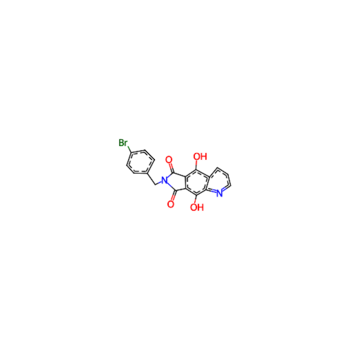 O=C1c2c(c(O)c3ncccc3c2O)C(=O)N1Cc1ccc(Br)cc1